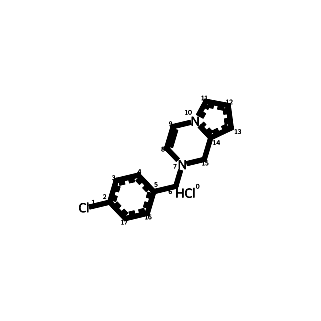 Cl.Clc1ccc(CN2C=Cn3cccc3C2)cc1